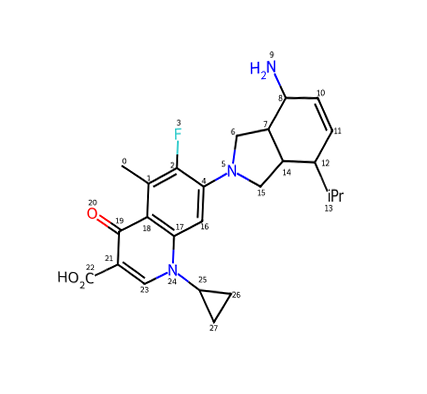 Cc1c(F)c(N2CC3C(N)C=CC(C(C)C)C3C2)cc2c1c(=O)c(C(=O)O)cn2C1CC1